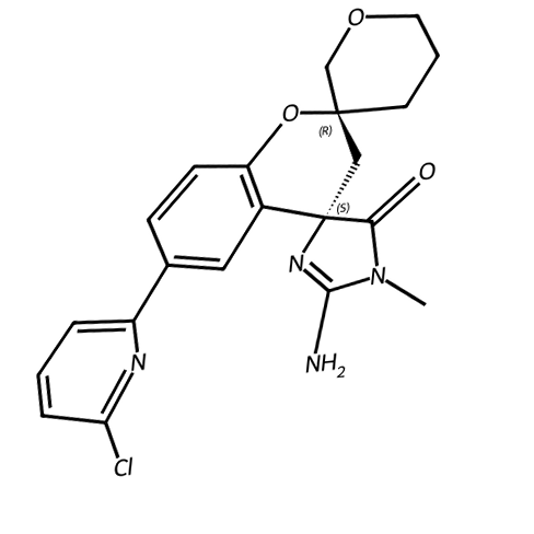 CN1C(=O)[C@@]2(C[C@@]3(CCCOC3)Oc3ccc(-c4cccc(Cl)n4)cc32)N=C1N